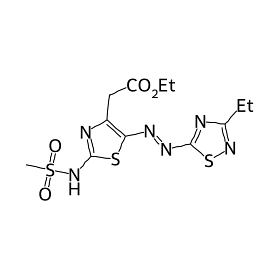 CCOC(=O)Cc1nc(NS(C)(=O)=O)sc1/N=N/c1nc(CC)ns1